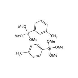 CO[Si](OC)(OC)c1ccc(C)cc1.CO[Si](OC)(OC)c1cccc(C)c1